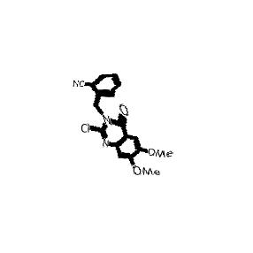 COc1cc2nc(Cl)n(Cc3ccccc3C#N)c(=O)c2cc1OC